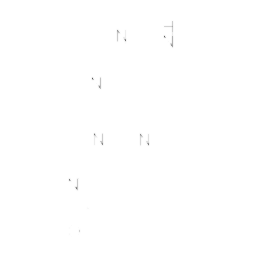 O=C1C=c2cnc(-c3ncnc4[nH]ccc34)nc2=N1